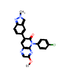 CCOc1cnc2cc(-c3ccc4nn(C)cc4c3)c(=O)n(-c3ccc(Cl)cc3)c2n1